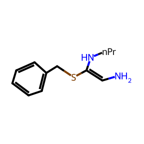 CCCN/C(=C\N)SCc1ccccc1